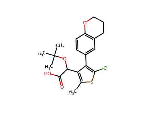 Cc1sc(Cl)c(-c2ccc3c(c2)CCCO3)c1C(OC(C)(C)C)C(=O)O